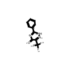 O=c1nc(-c2ccccc2)[nH]nc1C(F)(F)F